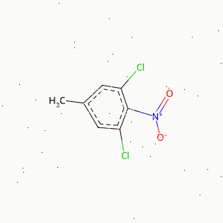 Cc1cc(Cl)c([N+](=O)[O-])c(Cl)c1